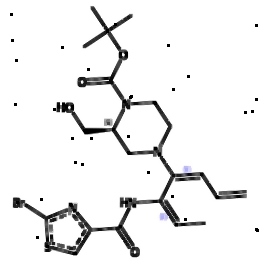 C=C/C=C(\C(=C/C)NC(=O)c1csc(Br)n1)N1CCN(C(=O)OC(C)(C)C)[C@H](CO)C1